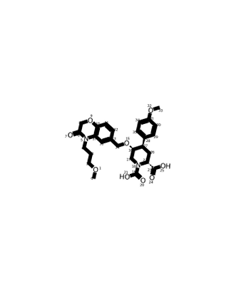 COCCCN1C(=O)COc2ccc(CO[C@H]3CN(C(=O)O)[C@@H](C(=O)O)C[C@@H]3c3ccc(OC)cc3)cc21